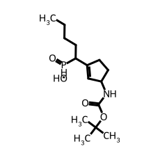 CCCCC(C1=CC(NC(=O)OC(C)(C)C)CC1)[PH](=O)O